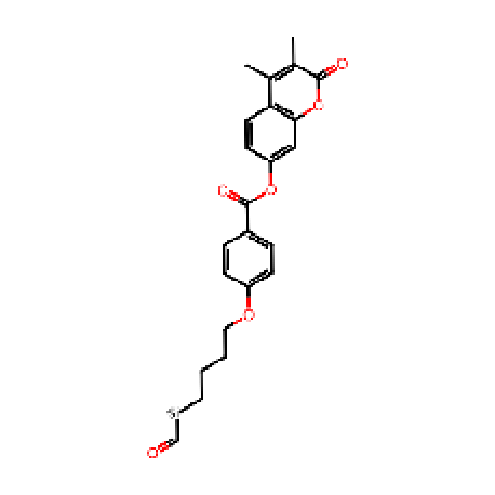 Cc1c(C)c2ccc(OC(=O)c3ccc(OCCCC[Si]C=O)cc3)cc2oc1=O